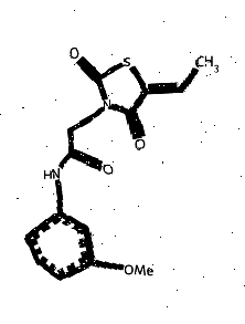 C/C=C1\SC(=O)N(CC(=O)Nc2cccc(OC)c2)C1=O